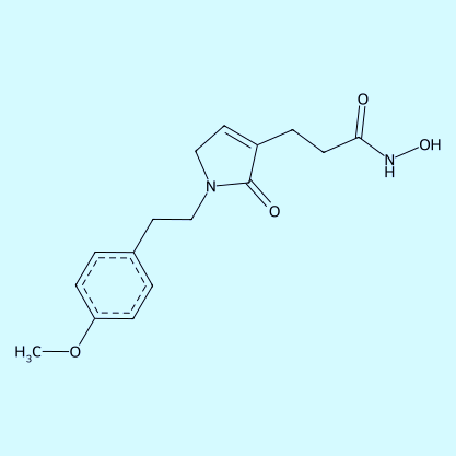 COc1ccc(CCN2CC=C(CCC(=O)NO)C2=O)cc1